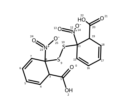 O=C(O)C1C=CC=CC1(SSC1([N+](=O)[O-])C=CC=CC1C(=O)O)[N+](=O)[O-]